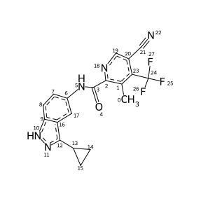 Cc1c(C(=O)Nc2ccc3[nH]nc(C4CC4)c3c2)ncc(C#N)c1C(F)(F)F